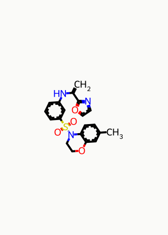 C=C(Nc1cccc(S(=O)(=O)N2CCOc3cc(C)ccc32)c1)c1ncco1